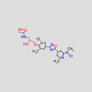 CCc1cc(-c2noc(-c3cc(C)nc(N(C)CC)c3)n2)cc(C)c1OCC(O)CNC(=O)CO